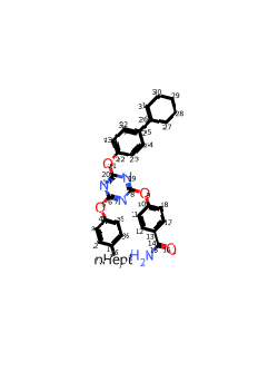 CCCCCCCc1ccc(Oc2nc(Oc3ccc(C(N)=O)cc3)nc(Oc3ccc(C4CCCCC4)cc3)n2)cc1